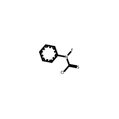 FN(C(=S)Cl)c1ccccc1